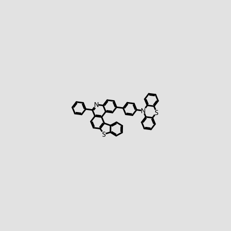 c1ccc(-c2nc3ccc(-c4ccc(N5c6ccccc6Sc6ccccc65)cc4)cc3c3c2ccc2sc4ccccc4c23)cc1